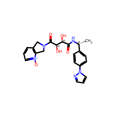 C[C@@H](NC(=O)[C@H](O)[C@@H](O)C(=O)N1Cc2ccc[n+]([O-])c2C1)c1ccc(-n2cccn2)cc1